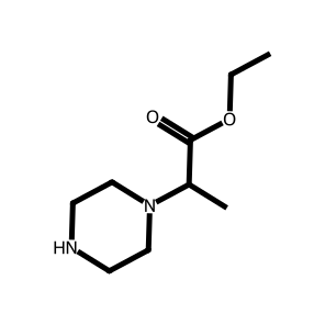 CCOC(=O)C(C)N1CCNCC1